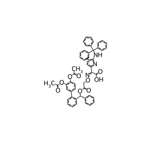 CC(=O)Oc1ccc(-c2ccccc2C(OC(=O)CO/N=C(\C(=O)O)c2csc(NC(c3ccccc3)(c3ccccc3)c3ccccc3)n2)c2ccccc2)cc1OC(C)=O